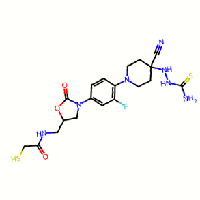 N#CC1(NNC(N)=S)CCN(c2ccc(N3CC(CNC(=O)CS)OC3=O)cc2F)CC1